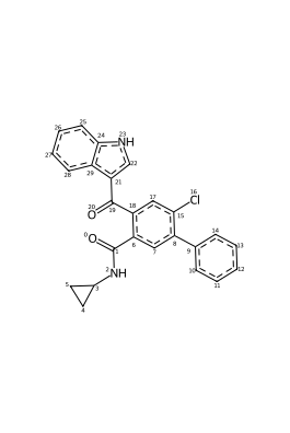 O=C(NC1CC1)c1cc(-c2ccccc2)c(Cl)cc1C(=O)c1c[nH]c2ccccc12